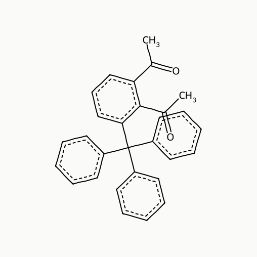 CC(=O)c1cccc(C(c2ccccc2)(c2ccccc2)c2ccccc2)c1C(C)=O